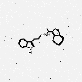 CC(NCCCc1c[nH]c2ccccc12)c1ccc2cccccc1-2